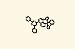 c1ccc(-c2cc(-c3ccc4c5c(cccc35)C3(c5ccccc5-c5ccccc53)c3ccccc3-4)nc(-c3ccccc3)n2)cc1